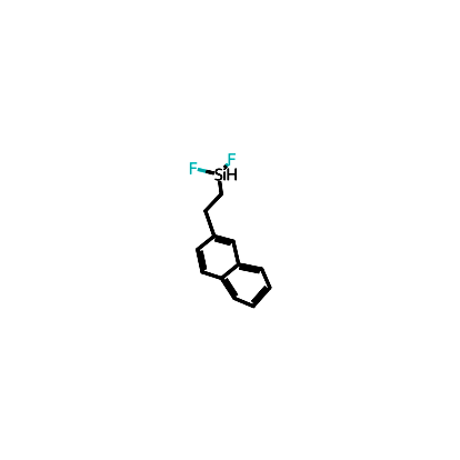 F[SiH](F)CCc1ccc2ccccc2c1